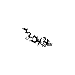 C=CCOC(=O)N1CCC(C(C)(C)OC(=O)C(Br)(Br)Br)CC1